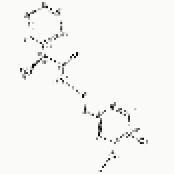 COc1cc(CCNC(=O)[C@@H](O)c2ccccc2)ccc1O